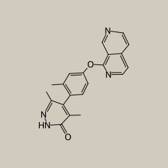 Cc1cc(Oc2nccc3ccncc23)ccc1-c1c(C)n[nH]c(=O)c1C